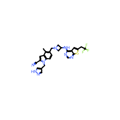 Cc1c(CN2CC(Nc3ncnc4sc(CC(F)(F)F)cc34)C2)ccc2c1cc(C#N)n2Cc1cn[nH]c1